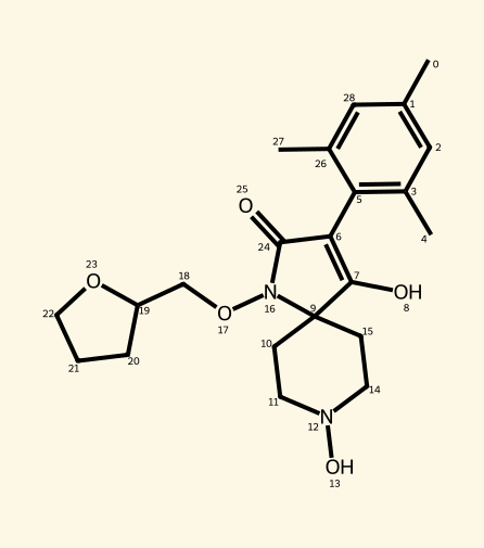 Cc1cc(C)c(C2=C(O)C3(CCN(O)CC3)N(OCC3CCCO3)C2=O)c(C)c1